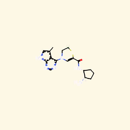 Cc1c[nH]c2ncnc(N3C=C(C(=O)N[C@@H]4CCC[C@H]4N)SCC3)c12.Cl